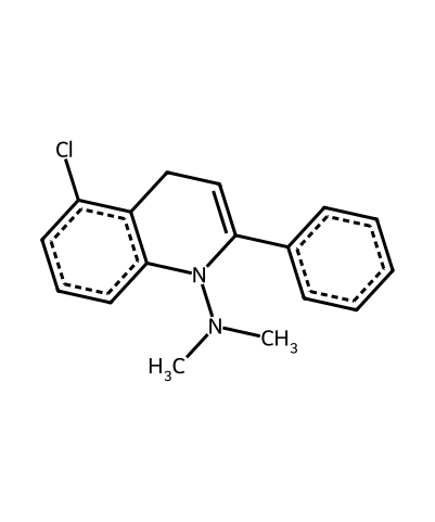 CN(C)N1C(c2ccccc2)=CCc2c(Cl)cccc21